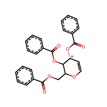 O=C(OCC1OC=C[C@@H](OC(=O)c2ccccc2)C1OC(=O)c1ccccc1)c1ccccc1